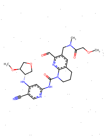 COCC(=O)N(C)Cc1cc2c(nc1C=O)N(C(=O)Nc1cc(N[C@H]3COC[C@@H]3OC)c(C#N)cn1)CCC2